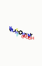 CC(C)(C)N(C[C@H]1CN(c2ccc(-c3nc(Cn4ccnc4)cs3)c(F)c2)C(=O)O1)C(=O)O